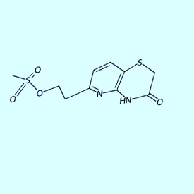 CS(=O)(=O)OCCc1ccc2c(n1)NC(=O)CS2